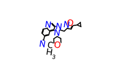 C[C@@H]1CC(n2c(Cc3cc(C4CC4)on3)nc3cnc4ccc(C#N)cc4c32)CCO1